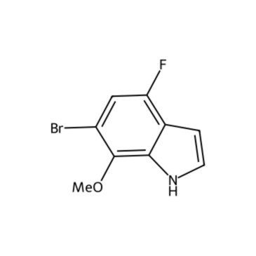 COc1c(Br)cc(F)c2cc[nH]c12